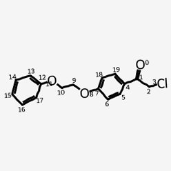 O=C(CCl)c1ccc(OCCOc2ccccc2)cc1